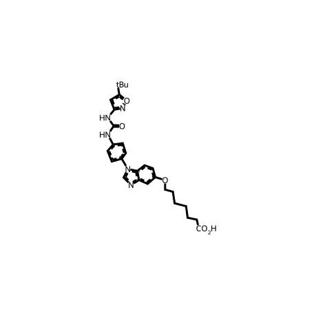 CC(C)(C)c1cc(NC(=O)Nc2ccc(-n3cnc4cc(OCCCCCCC(=O)O)ccc43)cc2)no1